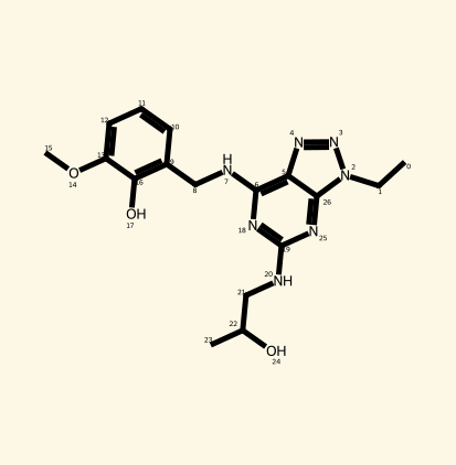 CCn1nnc2c(NCc3cccc(OC)c3O)nc(NCC(C)O)nc21